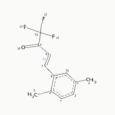 Cc1ccc(C)c(/C=C/C(=O)C(F)(F)F)c1